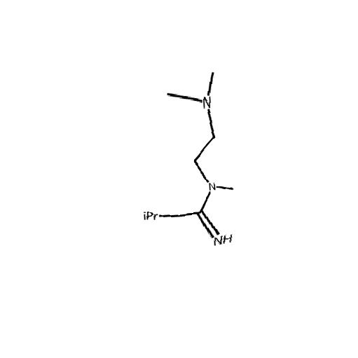 CC(C)C(=N)N(C)CCN(C)C